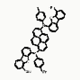 CCCc1ccc(N(c2ccc3ccc4c(N(c5ccc(C)cc5)c5cccc6c5oc5c(C(C)(C)C)cccc56)ccc5ccc2c3c54)c2cccc3c2oc2c(C(C)(C)C)cccc23)cc1